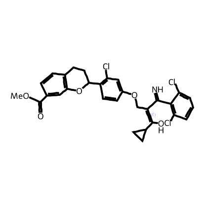 COC(=O)c1ccc2c(c1)OC(c1ccc(OC/C(C(=N)c3c(Cl)cccc3Cl)=C(/O)C3CC3)cc1Cl)CC2